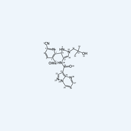 COc1ccc(C#N)nc1C1NN(CC(C)(C)O)C=C1NC(=O)c1cnn2cccnc12